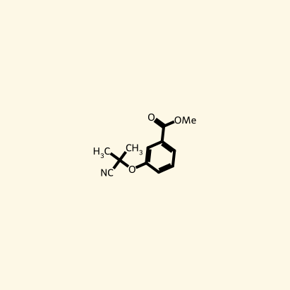 COC(=O)c1cccc(OC(C)(C)C#N)c1